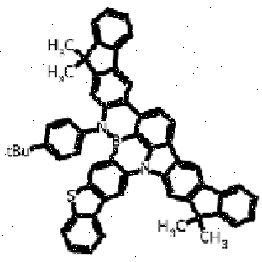 CC(C)(C)c1ccc(N2B3c4cc5sc6ccccc6c5cc4-n4c5cc6c(cc5c5ccc(c3c54)-c3cc4c(cc32)C(C)(C)c2ccccc2-4)-c2ccccc2C6(C)C)cc1